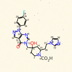 O=C(O)N1CCC(O)(Cn2cnc3c(cnn3-c3ccc(F)cc3)c2=O)CC1CCn1ccnc1